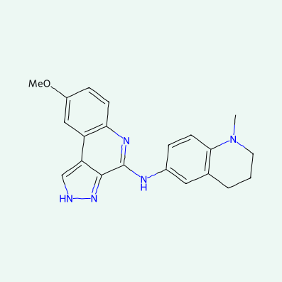 COc1ccc2nc(Nc3ccc4c(c3)CCCN4C)c3n[nH]cc3c2c1